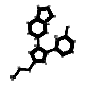 Cc1cccc(-c2nc(CCO)cn2-c2ccc3nccn3c2)n1